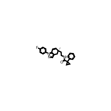 C[C@@]1(CCNC(=O)C2(c3ccccc3)CC2)C=Cc2c(cnn2-c2ccc(F)cc2)C1